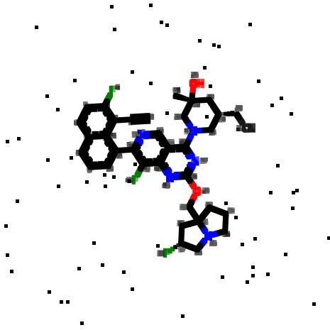 C#Cc1c(F)ccc2cccc(-c3ncc4c(N5C[C@@H](CC#N)C[C@@](C)(O)C5)nc(OCC56CCCN5C[C@H](F)C6)nc4c3F)c12